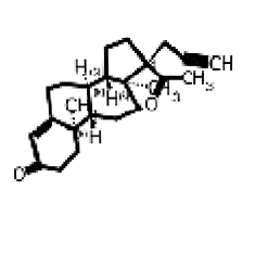 C#CC[C@]1(C(C)=O)CC[C@H]2[C@@H]3CCC4=CC(=O)CC[C@]4(C)[C@H]3CC[C@@]21C